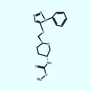 CC(C)(C)OC(=O)N[C@@H]1CC[C@@H](CSc2nnnn2-c2ccccc2)OC1